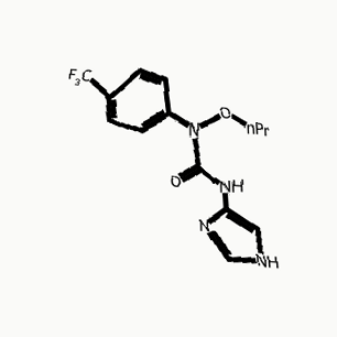 CCCON(C(=O)Nc1c[nH]cn1)c1ccc(C(F)(F)F)cc1